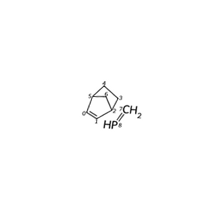 C1=CC2CCC1C2.C=P